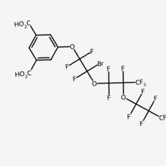 O=C(O)c1cc(OC(F)(F)C(F)(Br)OC(F)(F)C(F)(OC(F)(F)C(F)(F)C(F)(F)F)C(F)(F)F)cc(C(=O)O)c1